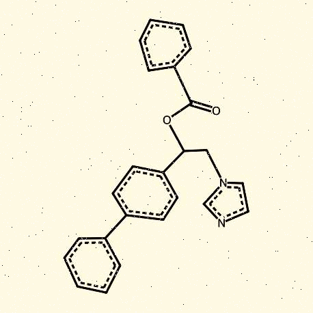 O=C(OC(Cn1ccnc1)c1ccc(-c2ccccc2)cc1)c1ccccc1